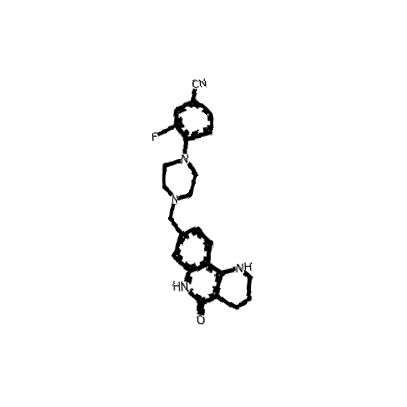 N#Cc1ccc(N2CCN(Cc3ccc4c5c(c(=O)[nH]c4c3)CCCN5)CC2)c(F)c1